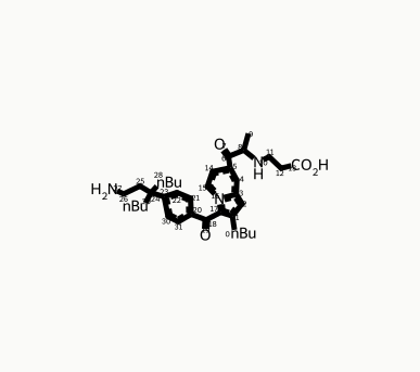 CCCCc1cc2cc(C(=O)C(C)NCCC(=O)O)ccn2c1C(=O)c1ccc(C(CCN)(CCCC)CCCC)cc1